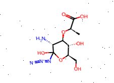 C[C@@H](O[C@H]1[C@H](O)[C@@H](CO)OC(O)(N=[N+]=[N-])[C@@H]1N)C(=O)O